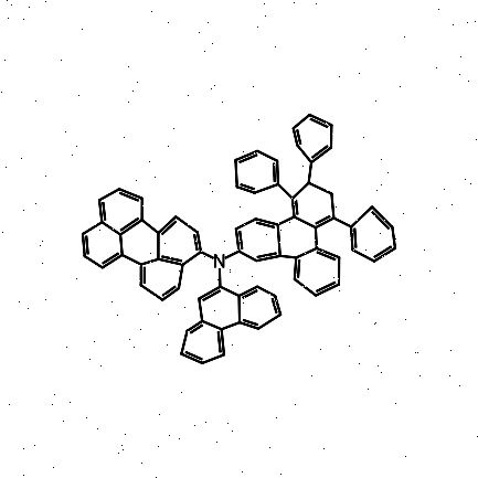 c1ccc(C2=c3c(c4ccc(N(c5cc6ccccc6c6ccccc56)c5ccc6c7cccc8cccc(c9cccc5c96)c87)cc4c4ccccc34)=C(c3ccccc3)C(c3ccccc3)C2)cc1